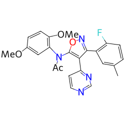 COc1ccc(OC)c(N(C(C)=O)c2onc(-c3cc(C)ccc3F)c2-c2ccncn2)c1